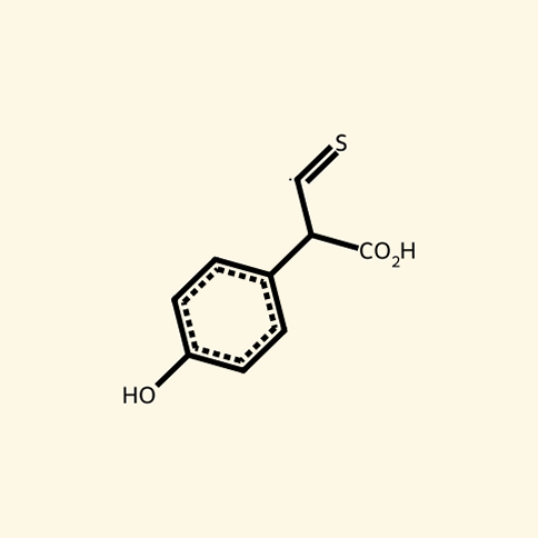 O=C(O)C([C]=S)c1ccc(O)cc1